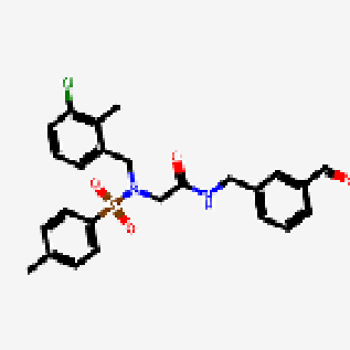 Cc1ccc(S(=O)(=O)N(CC(=O)NCc2cccc(C=O)c2)Cc2cccc(Cl)c2C)cc1